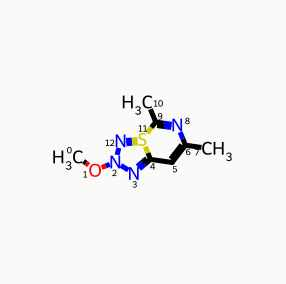 CON1N=C2C=C(C)N=C(C)S2=N1